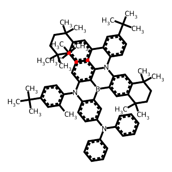 Cc1cc(C(C)(C)C)ccc1N1c2ccc(N(c3ccccc3)c3ccccc3)cc2B2c3cc4c(cc3N(c3ccc(C(C)(C)C)cc3-c3ccc5c(c3)C(C)(C)CCC5(C)C)c3cc(C(C)(C)C)cc1c32)C(C)(C)CCC4(C)C